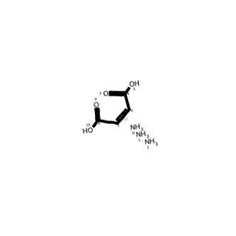 N.N.N.O=C(O)/C=C\C(=O)O